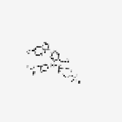 CC(C)(O)C1CCC(NC(=O)c2cnc(-c3cnc4cc(Cl)cnn34)cc2Nc2cnn(CC(F)F)c2)CC1